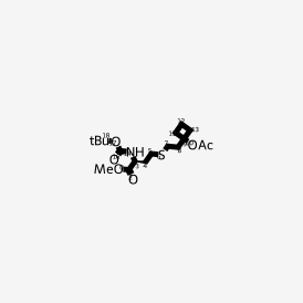 COC(=O)[C@H](CCSCCC1(OC(C)=O)CCC1)NC(=O)OC(C)(C)C